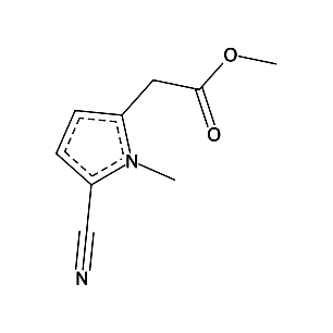 COC(=O)Cc1ccc(C#N)n1C